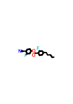 CC=CCCc1ccc(C(=O)Oc2ccc(C#N)c(F)c2)c(F)c1